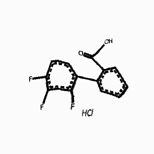 Cl.O=C(O)c1ccccc1-c1ccc(F)c(F)c1F